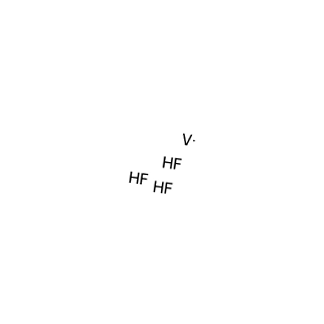 F.F.F.[V]